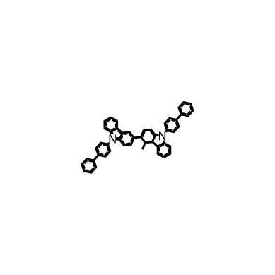 CC1C(c2ccc3c(c2)c2ccccc2n3-c2ccc(-c3ccccc3)cc2)=CC=C2C1c1ccccc1N2c1ccc(-c2ccccc2)cc1